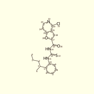 CCCC(C)c1ccccc1NC(=S)NC(=O)c1cc2c(Cl)nccc2o1